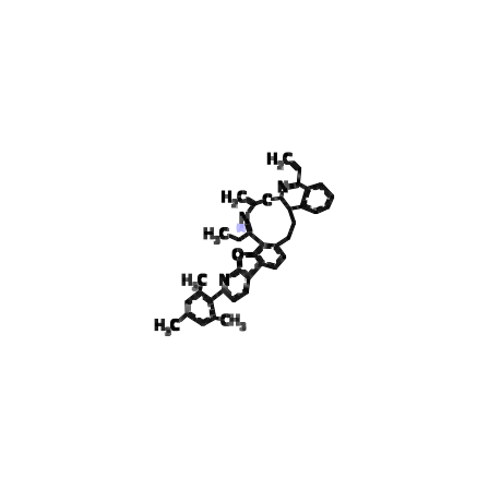 C=CC1=NC2CC(=C)/N=C(/CC)c3c(ccc4c3oc3nc(-c5c(C)cc(C)cc5C)ccc34)CCC2c2ccccc21